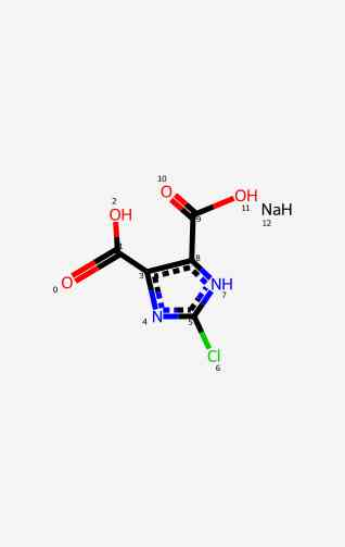 O=C(O)c1nc(Cl)[nH]c1C(=O)O.[NaH]